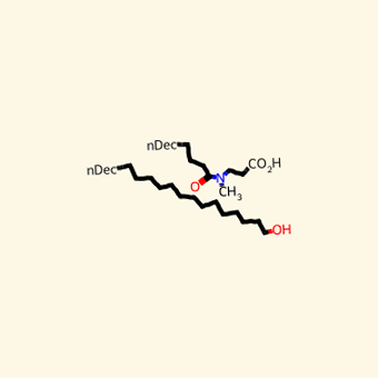 CCCCCCCCCCCCCC(=O)N(C)CCC(=O)O.CCCCCCCCCCCCCCCCCCCCCCCCO